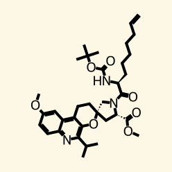 C=CCCCCC[C@H](NC(=O)OC(C)(C)C)C(=O)N1C[C@]2(CCc3c(c(C(C)C)nc4ccc(OC)cc34)O2)C[C@H]1C(=O)OC